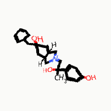 CC(O)(CN1C[C@@H]2CC(O)(Cc3ccccc3)C[C@@H]2C1)c1ccc(O)cc1